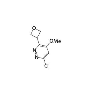 COc1cc(Cl)nnc1C1COC1